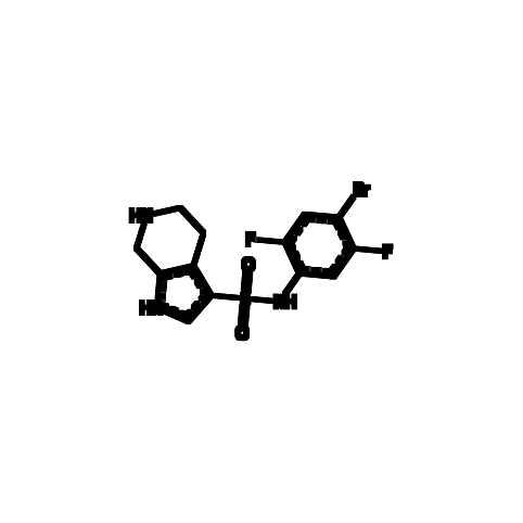 O=S(=O)(Nc1cc(F)c(Br)cc1F)c1c[nH]c2c1CCNC2